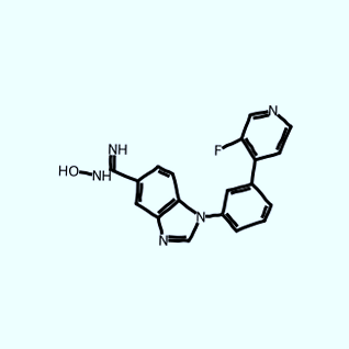 N=C(NO)c1ccc2c(c1)ncn2-c1cccc(-c2ccncc2F)c1